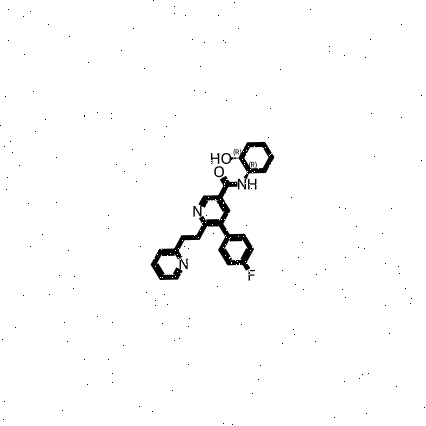 O=C(N[C@@H]1CCCC[C@H]1O)c1cnc(CCc2ccccn2)c(-c2ccc(F)cc2)c1